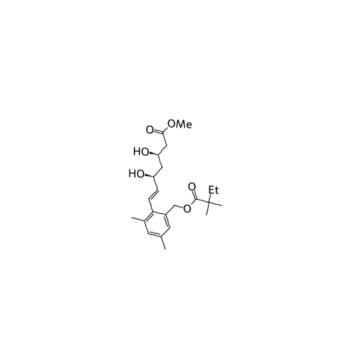 CCC(C)(C)C(=O)OCc1cc(C)cc(C)c1/C=C/[C@@H](O)C[C@@H](O)CC(=O)OC